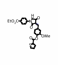 CCOC(=O)c1ccc(N2NC(=O)/C(=C/c3ccc(OC(=O)c4cccs4)c(OC)c3)C2=O)cc1